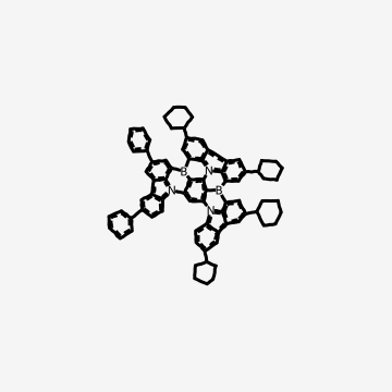 c1ccc(-c2ccc3c(c2)c2cc(-c4ccccc4)cc4c2n3-c2cc3c5c6c2B4c2cc(C4CCCCC4)cc4c7cc(C8CCCCC8)cc(c7n-6c24)B5c2cc(C4CCCCC4)cc4c5cc(C6CCCCC6)ccc5n-3c24)cc1